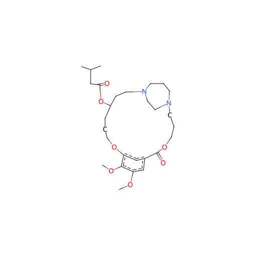 COc1cc2cc(c1OC)OCCCC(OC(=O)CC(C)C)CCN1CCCN(CCCOC2=O)CC1